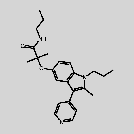 CCCNC(=O)C(C)(C)Oc1ccc2c(c1)c(-c1ccncc1)c(C)n2CCC